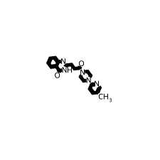 Cc1ccc(N2CCN(C(=O)CCc3nc4ccccc4c(=O)[nH]3)CC2)nc1